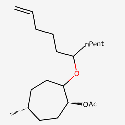 C=CCCCC(CCCCC)OC1CC[C@@H](C)CC[C@@H]1OC(C)=O